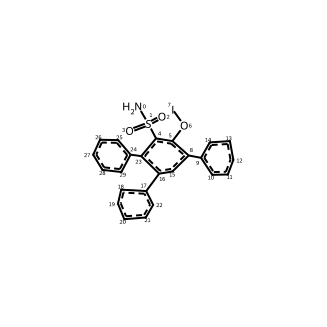 NS(=O)(=O)c1c(OI)c(-c2ccccc2)cc(-c2ccccc2)c1-c1ccccc1